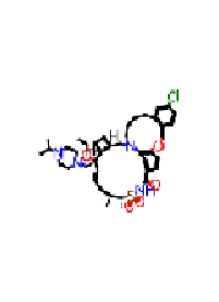 CCO[C@@]1(CN2CCN(C(C)C)CC2)/C=C/C[C@H](C)[C@@H](C)S(=O)(=O)NC(=O)c2ccc3c(c2)N(CCCCc2cc(Cl)ccc2CO3)C[C@@H]2CC[C@H]21